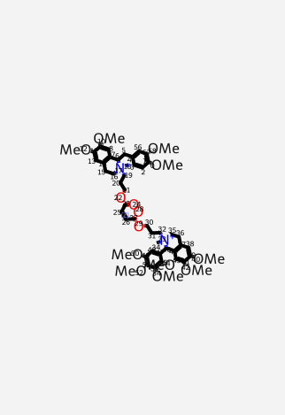 COc1ccc(CC2c3cc(OC)c(OC)cc3CC[N+]2(C)CCCOC(=O)/C=C\C(=O)OCCC[N+]2(C)CCc3cc(OC)c(OC)c(OC)c3C2c2cc(OC)c(OC)c(OC)c2)cc1OC